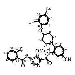 COc1c(C(=O)Nc2cc(C#N)ccc2N2CCC(Oc3ccc(F)cc3F)CC2)nnn1CC(=O)c1ccccc1Cl